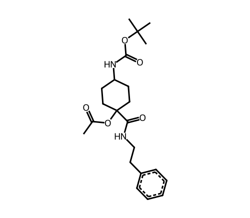 CC(=O)OC1(C(=O)NCCc2ccccc2)CCC(NC(=O)OC(C)(C)C)CC1